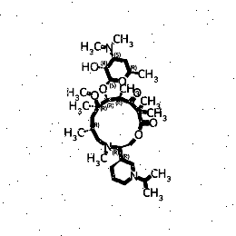 CO[C@]1(C)C[C@@H](C)CN(C)[C@H]([C@@H]2CCCN(C(C)C)C2)COC(=O)C(C)(C)C(=O)[C@H](C)[C@H]1O[C@@H]1O[C@H](C)C[C@H](N(C)C)[C@H]1O